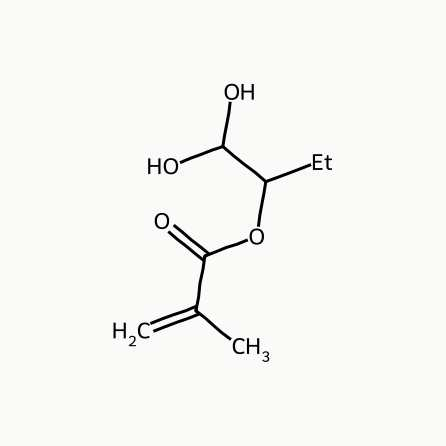 C=C(C)C(=O)OC(CC)C(O)O